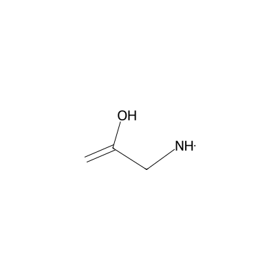 C=C(O)C[NH]